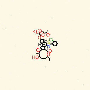 CC[C@H]1CCC[C@H](O)[C@@H](C)C(=O)C2=C[C@H]3[C@@H]4C[C@H](OC(OC(C)[C@@H](C)OC)[C@H](COC)OC)C[C@H]4c4sc(-c5ccccc5Cl)nc4[C@H]3[C@@H]2CC(=O)O1